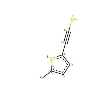 Cc1ccc(C#CS)s1